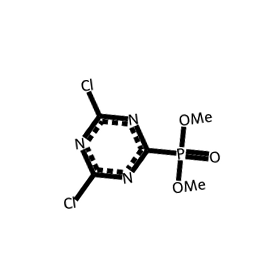 COP(=O)(OC)c1nc(Cl)nc(Cl)n1